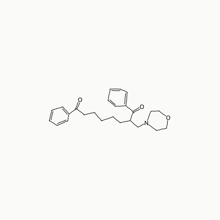 O=C(CCCCCC(CN1CCOCC1)C(=O)c1ccccc1)c1ccccc1